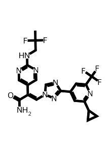 CC(F)(F)CNc1ncc(/C(=C\n2cnc(-c3cc(C4CC4)nc(C(F)(F)F)c3)n2)C(N)=O)cn1